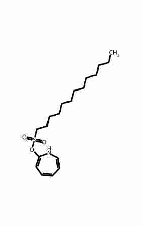 CCCCCCCCCCCCCS(=O)(=O)OC1=CC=CC=CN1